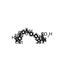 CCc1ccc(NS(=O)(=O)c2ccc(C(C)NC(=O)c3ccc(-c4ccc(C5=N[C@@H](CC(=O)O)c6nnc(C)n6-c6sc(C)c(C)c65)cc4)cc3)cc2)c2[nH]cc(C#N)c12